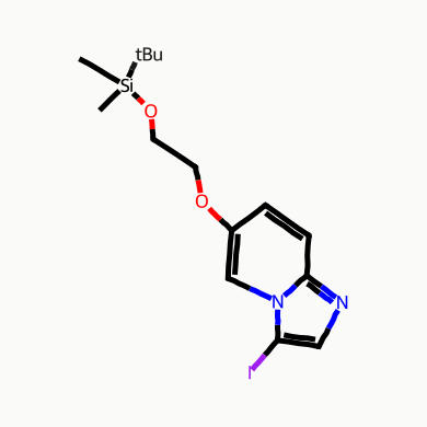 CC(C)(C)[Si](C)(C)OCCOc1ccc2ncc(I)n2c1